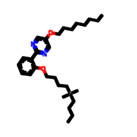 CCCCCCCCOc1cnc(-c2ccccc2OCCCC[Si](C)(C)CCCC)nc1